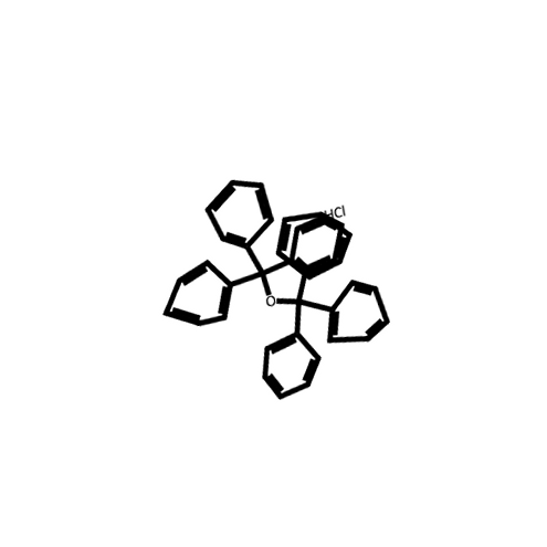 Cl.c1ccc(C(OC(c2ccccc2)(c2ccccc2)c2ccccc2)(c2ccccc2)c2ccccc2)cc1